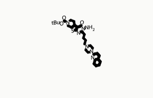 CC(C)(C)OC(=O)N1CCc2c(sc3nc(CCCCN4CCN(c5ccc6ccccc6n5)CC4)n(N)c(=O)c23)C1